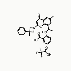 Cc1cc(C(C)Nc2ccccc2C(=O)O)c2oc(N3CC(C)(c4ccccc4)C3)cc(=O)c2c1.O=C(O)C(F)(F)F